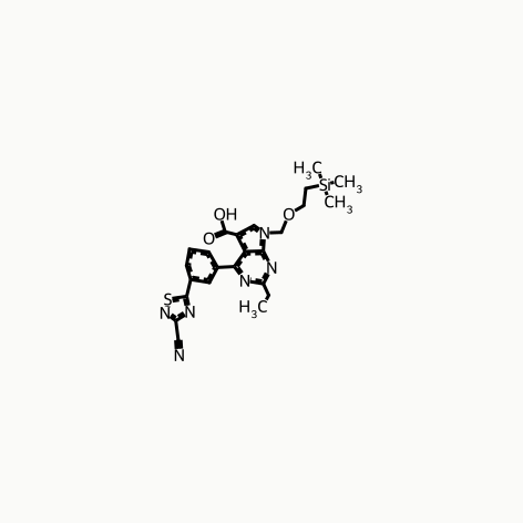 CCc1nc(-c2cccc(-c3nc(C#N)ns3)c2)c2c(C(=O)O)cn(COCC[Si](C)(C)C)c2n1